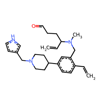 C=Cc1ccc(C2CCN(Cc3cc[nH]c3)CC2)cc1CN(C)C(C=C)CCC=O